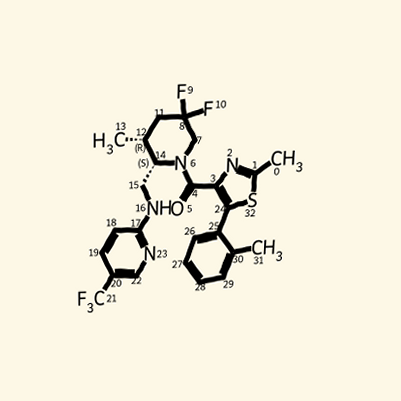 Cc1nc(C(=O)N2CC(F)(F)C[C@@H](C)[C@H]2CNc2ccc(C(F)(F)F)cn2)c(-c2ccccc2C)s1